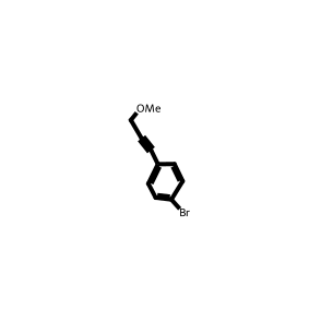 COCC#Cc1ccc(Br)cc1